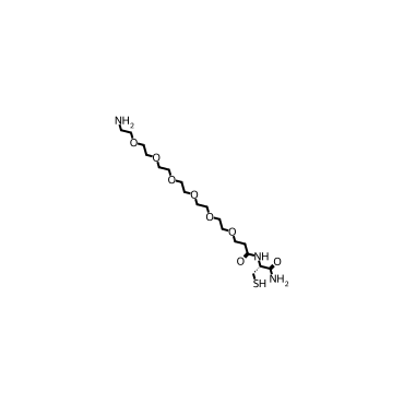 NCCOCCOCCOCCOCCOCCOCCC(=O)N[C@@H](CS)C(N)=O